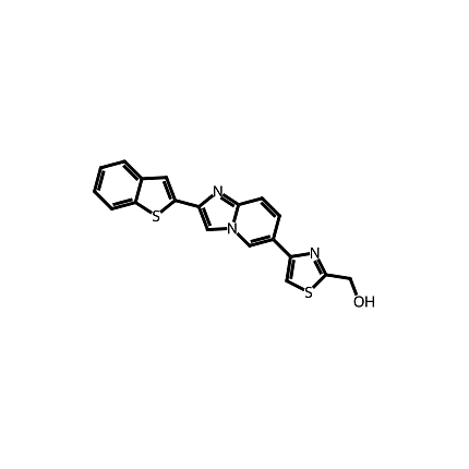 OCc1nc(-c2ccc3nc(-c4cc5ccccc5s4)cn3c2)cs1